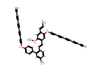 C#CC#CC#CC#CC#COc1ccc(-c2cc(C)ccc2/C=C/c2cc(OC#CC#CC#CC#CC#C)c(/C=C/C)cc2OC)cc1